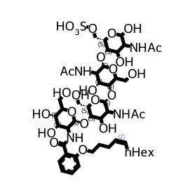 CCCCCC/C=C\CCCOc1ccccc1C(=O)NC1[C@H](O[C@H]2C(O)C(NC(C)=O)[C@H](O[C@@H]3C(CO)O[C@@H](O[C@H]4C(O)C(NC(C)=O)C(O)O[C@H]4COS(=O)(=O)O)C(NC(C)=O)[C@H]3O)O[C@H]2CO)OC(CO)[C@@H](O)[C@@H]1O